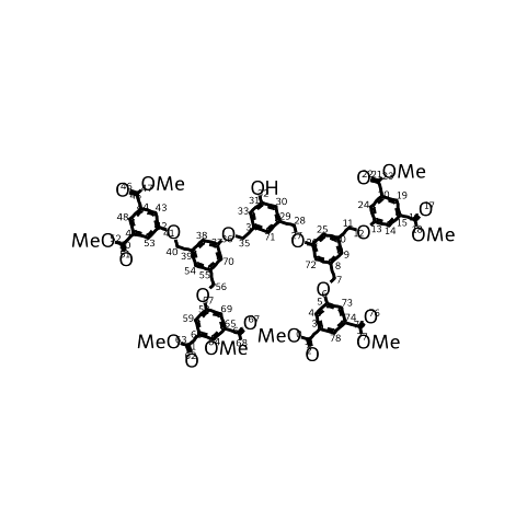 COC(=O)c1cc(OCc2cc(COc3cc(C(=O)OC)cc(C(=O)OC)c3)cc(OCc3cc(O)cc(COc4cc(COc5cc(C(=O)OC)cc(C(=O)OC)c5)cc(COc5cc(C(=O)OC)cc(C(=O)OC)c5)c4)c3)c2)cc(C(=O)OC)c1